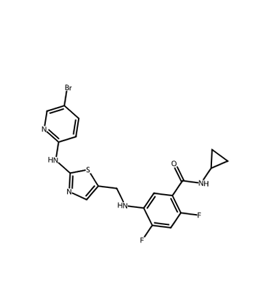 O=C(NC1CC1)c1cc(NCc2cnc(Nc3ccc(Br)cn3)s2)c(F)cc1F